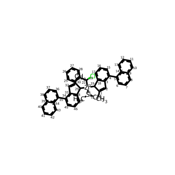 CC1=Cc2c(-c3cccc4ccccc34)cccc2[CH]1[Zr]([CH](Cl)c1ccccc1)([CH]1C(C)=Cc2c(-c3cccc4ccccc34)cccc21)[Si](C)C